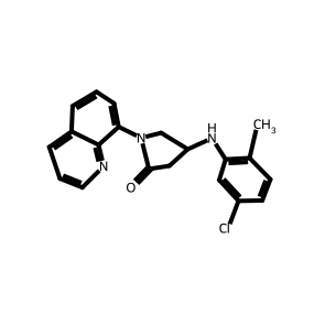 Cc1ccc(Cl)cc1NC1CC(=O)N(c2cccc3cccnc23)C1